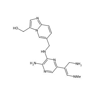 CN/C=C(\CN)c1cnc(N)c(NCc2ccc3ncc(CO)n3c2)n1